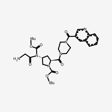 CC(C)(C)OC(=O)N1C[C@H](N(C(=O)CN)C(=O)OC(C)(C)C)C[C@H]1C(=O)N1CCN(C(=O)c2cnc3ccccc3c2)CC1